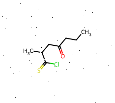 CCCC(=O)CC(C)C(=S)Cl